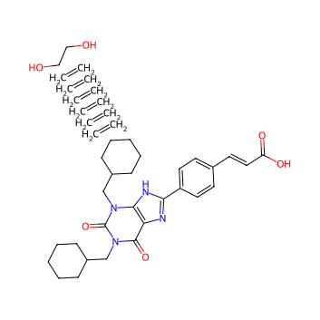 C=C.C=C.C=C.C=C.C=C.C=C.O=C(O)/C=C/c1ccc(-c2nc3c(=O)n(CC4CCCCC4)c(=O)n(CC4CCCCC4)c3[nH]2)cc1.OCCO